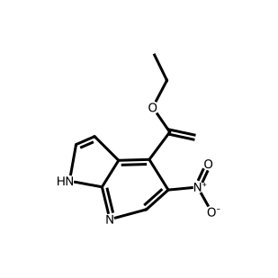 C=C(OCC)c1c([N+](=O)[O-])cnc2[nH]ccc12